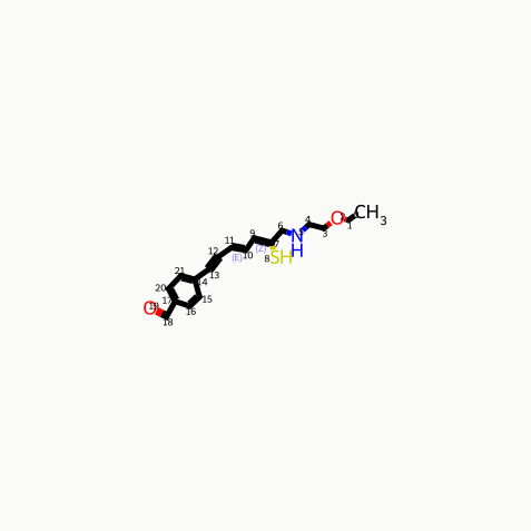 CCOCCNC/C(S)=C/C=C/C#Cc1ccc(C=O)cc1